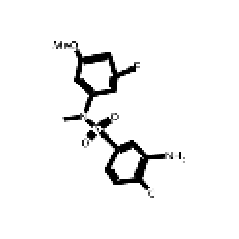 COc1cc(F)cc(N(C)S(=O)(=O)c2ccc(Cl)c(N)c2)c1